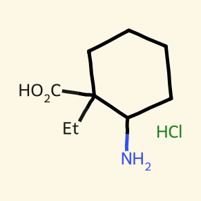 CCC1(C(=O)O)CCCCC1N.Cl